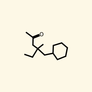 CCC(C)(CC(C)=O)CC1CCCCC1